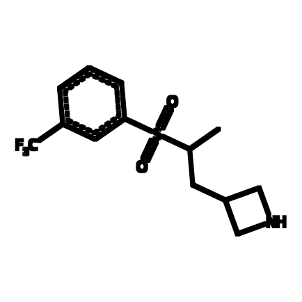 CC(CC1CNC1)S(=O)(=O)c1cccc(C(F)(F)F)c1